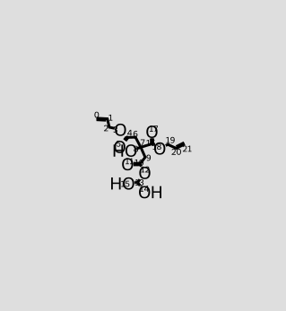 C=CCOC(=O)CC(O)(CC(=O)OC(O)O)C(=O)OCC=C